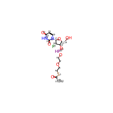 CC(C)(C)C(=O)SCCOCCOPOC1[C@@H](CO)O[C@@H](n2ccc(=O)[nH]c2=O)[C@H]1F